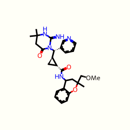 COCC1(C)CC(NC(=O)[C@@H]2C[C@H]2[C@@H](c2cccnc2)N2C(=N)NC(C)(C)CC2=O)c2ccccc2O1